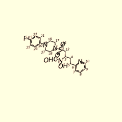 O=CN(O)C(CCc1ccccn1)CS(=O)(=O)N1CCN(c2ccc(F)cc2)CC1